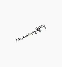 CCOCCOCCOCCOCCOCCOCCNC(=O)CCN1C(=O)C2C3C=C(C)C(C3)C2C1=O